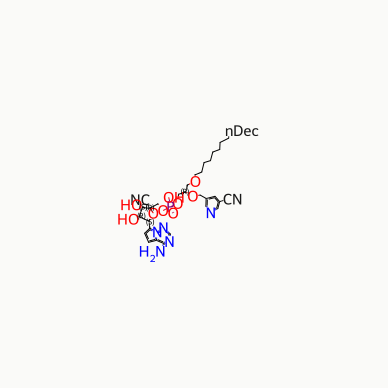 CCCCCCCCCCCCCCCCCCOC[C@H](COP(=O)(O)OC[C@@]1(C#N)O[C@@H](c2ccc3c(N)ncnn23)[C@H](O)[C@@H]1O)OCc1cncc(C#N)c1